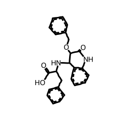 O=C(O)C(Cc1ccccc1)NC1c2ccccc2NC(=O)C1OCc1ccccc1